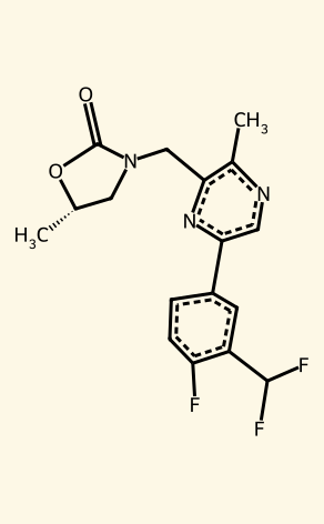 Cc1ncc(-c2ccc(F)c(C(F)F)c2)nc1CN1C[C@H](C)OC1=O